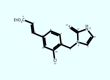 CCOC(=O)C=Cc1ccc(Cn2cc[nH]c2=S)c(Cl)c1